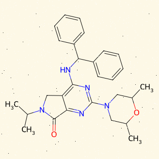 CC1CN(c2nc(NC(c3ccccc3)c3ccccc3)c3c(n2)C(=O)N(C(C)C)C3)CC(C)O1